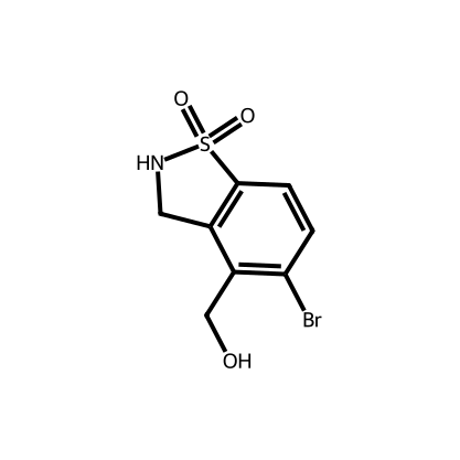 O=S1(=O)NCc2c1ccc(Br)c2CO